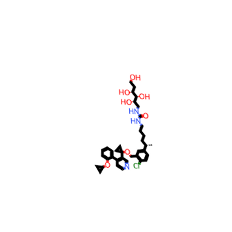 C[C@@H](CCCCNC(=O)NC[C@H](O)[C@@H](O)[C@H](O)CCO)c1ccc(Cl)c(COC2(c3cnccc3-c3ccccc3OC3CC3)CC2)c1